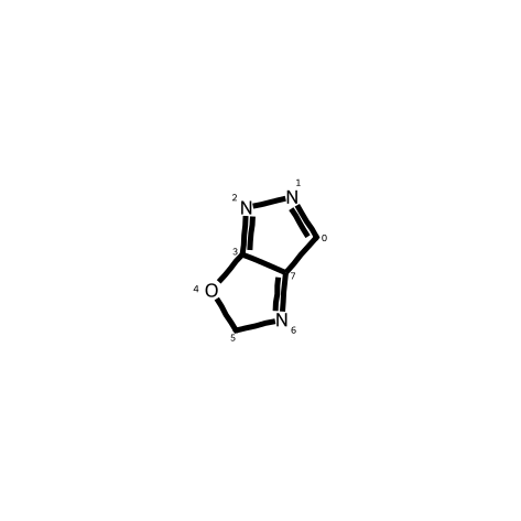 C1=NN=C2OCN=C12